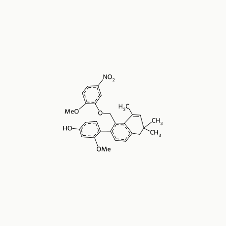 COc1ccc([N+](=O)[O-])cc1OCc1c(-c2ccc(O)cc2OC)ccc2c1C(C)=CC(C)(C)C2